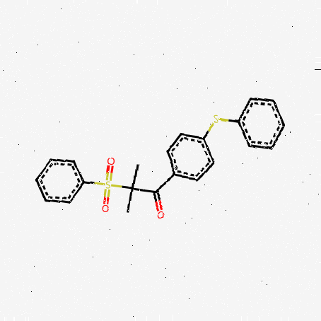 CC(C)(C(=O)c1ccc(Sc2ccccc2)cc1)S(=O)(=O)c1ccccc1